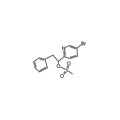 CS(=O)(=O)OC(Cc1ccccc1)c1ccc(Br)cn1